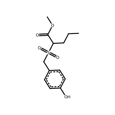 CCCC(C(=O)OC)S(=O)(=O)Cc1ccc(O)cc1